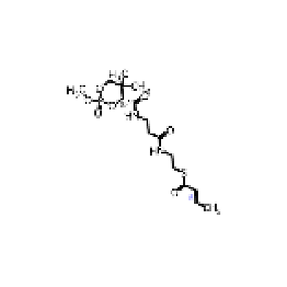 C/C=C/C(=O)SCCNC(=O)CCNC(=O)[C@@H]1OP(=O)(OC)OCC1(C)C